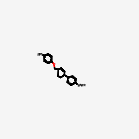 CCCCCc1ccc(C2C=CC(COc3ccc(CCC)cc3)CC2)cc1